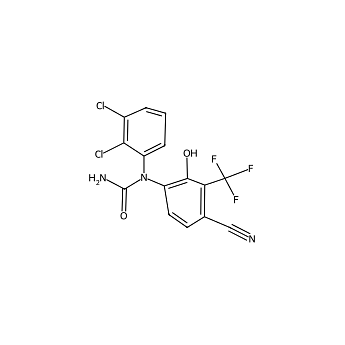 N#Cc1ccc(N(C(N)=O)c2cccc(Cl)c2Cl)c(O)c1C(F)(F)F